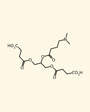 CN(C)CCCC(=O)OC(COC(=O)CCC(=O)O)COC(=O)CCC(=O)O